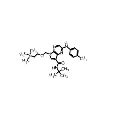 Cc1ccc(Nc2cnc3c(n2)c(C(=O)NC(C)(C)C)cn3COCC[Si](C)(C)C)cc1